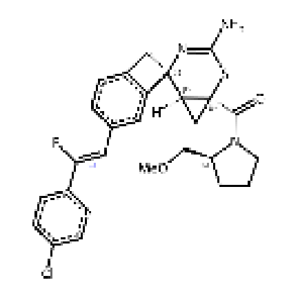 COC[C@@H]1CCCN1C(=O)[C@]12C[C@H]1[C@]1(Cc3ccc(/C=C(\F)c4ccc(Cl)cn4)cc31)N=C(N)S2